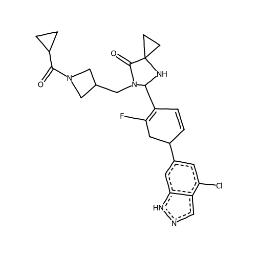 O=C(C1CC1)N1CC(CN2C(=O)C3(CC3)NC2C2=C(F)CC(c3cc(Cl)c4cn[nH]c4c3)C=C2)C1